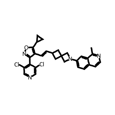 Cc1nccc2ccc(N3CC4(CC(/C=C/c5c(-c6c(Cl)cncc6Cl)noc5C5CC5)C4)C3)cc12